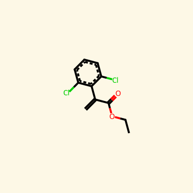 C=C(C(=O)OCC)c1c(Cl)cccc1Cl